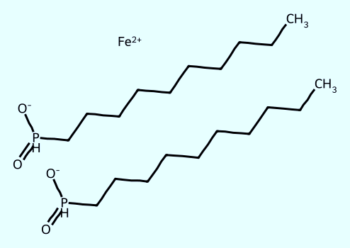 CCCCCCCCCC[PH](=O)[O-].CCCCCCCCCC[PH](=O)[O-].[Fe+2]